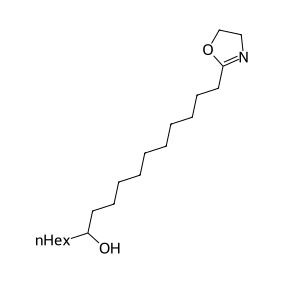 CCCCCCC(O)CCCCCCCCCCC1=NCCO1